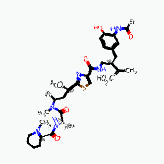 CCC(=O)Nc1cc(C[C@H](CNC(=O)c2csc([C@@H](CC(C(C)C)N(C)C(=O)[C@@H](NC(=O)[C@H]3CCCCN3C)[C@@H](C)CC)OC(C)=O)n2)C(C)C(=O)O)ccc1O